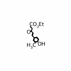 CCOC(=O)CCC(=O)/C=C/c1ccc(O)c(C)c1